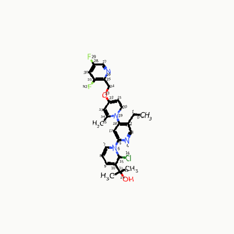 CCc1cnc(N2C=CC=C(C(C)(C)O)C2Cl)cc1N1CC=C(OCc2ncc(F)cc2F)C=C1C